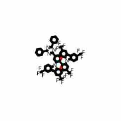 FC(F)(F)c1ccc(-c2ccc(-c3nc(-c4ccccc4)nc(-c4ccccc4)n3)cc2-n2c3ccc(C(F)(F)F)cc3c3cc(C(F)(F)F)ccc32)c(-n2c3ccc(C(F)(F)F)cc3c3cc(C(F)(F)F)ccc32)c1